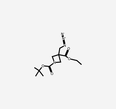 CCOC(=O)C1(CN=[N+]=[N-])CN(C(=O)OC(C)(C)C)C1